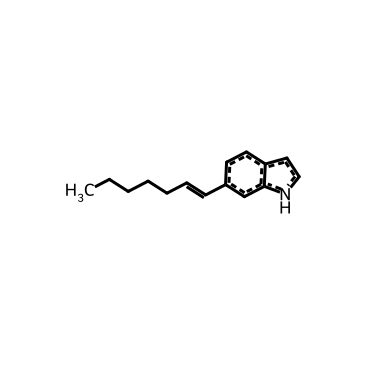 CCCCCC=Cc1ccc2cc[nH]c2c1